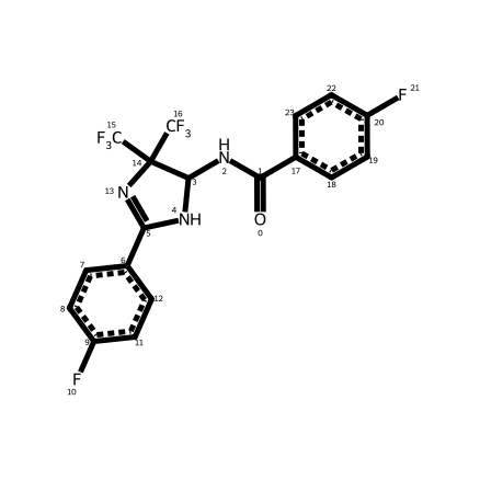 O=C(NC1NC(c2ccc(F)cc2)=NC1(C(F)(F)F)C(F)(F)F)c1ccc(F)cc1